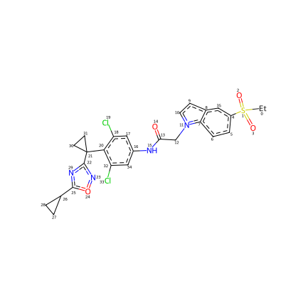 CCS(=O)(=O)c1ccc2c(ccn2CC(=O)Nc2cc(Cl)c(C3(c4noc(C5CC5)n4)CC3)c(Cl)c2)c1